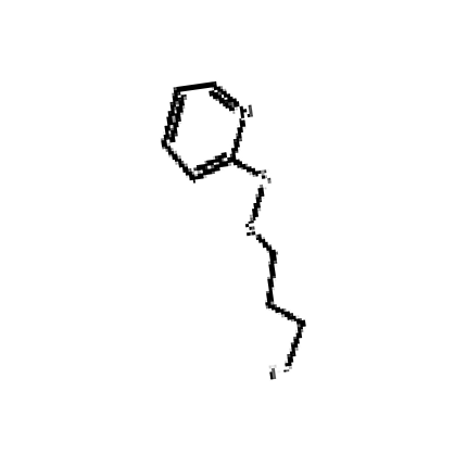 CC(C)CCCSSc1ccccn1